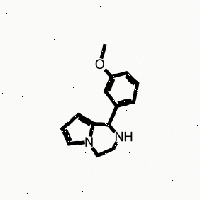 COc1cccc(C2NCCn3cccc32)c1